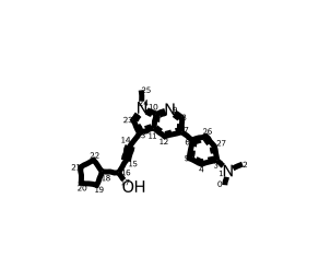 CN(C)c1ccc(-c2cnc3c(c2)c(C#CC(O)C2CCCC2)cn3C)cc1